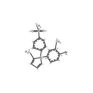 CC1=CC=C[N+]1(c1ccc(S(C)(=O)=O)cc1)c1ccc(Br)c(C)c1